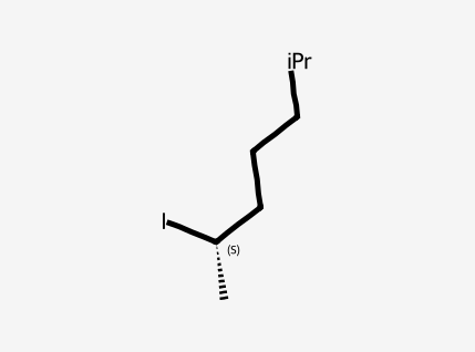 CC(C)CCC[C@H](C)I